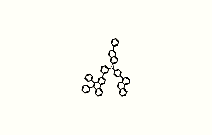 c1ccc(-c2ccc3cc(N(c4ccc(-c5cccc6c5ccc5ccccc56)cc4)c4cccc(-c5ccc6c(c5)c(-c5ccccc5)c(-c5ccccc5)c5ccccc56)c4)ccc3c2)cc1